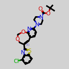 CC(C)(C)OC(=O)N1CCN(c2ccc3c(n2)OCOC/C(c2nc4c(Cl)cccc4s2)=C\3)CC1